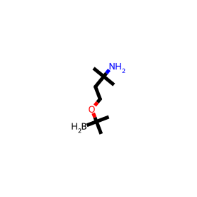 BC(C)(C)OCCC(C)(C)N